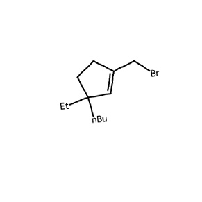 CCCCC1(CC)C=C(CBr)CC1